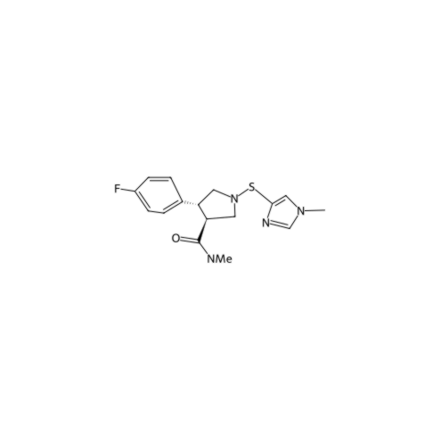 CNC(=O)[C@@H]1CN(Sc2cn(C)cn2)C[C@H]1c1ccc(F)cc1